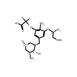 COC[C@@H](Oc1cc(C[C@@H]2C[S@+]([O-])C[C@H](N)[C@H]2O)cc(F)c1[N+](=O)[O-])C(F)(F)F.O=C(O)C(F)(F)F